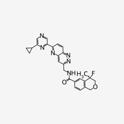 C[C@@]1(F)COCc2ccc(C(=O)NCc3cc4nc(-c5cncc(C6CC6)n5)ccc4nn3)cc21